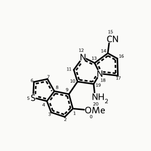 COc1ccc2sccc2c1-c1cnc2c(C#N)ccn2c1N